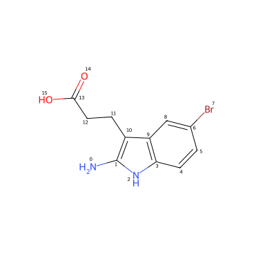 Nc1[nH]c2ccc(Br)cc2c1CCC(=O)O